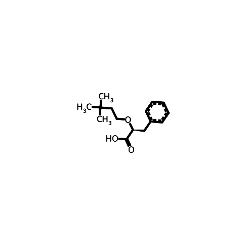 CC(C)(C)CCO[C@@H](Cc1ccccc1)C(=O)O